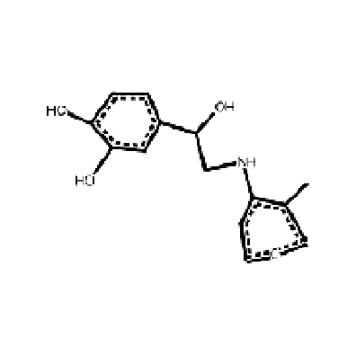 Cc1ccccc1NCC(O)c1ccc(O)c(O)c1